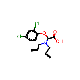 C=CCN(CC=C)C(Oc1ccc(Cl)cc1Cl)C(=O)O